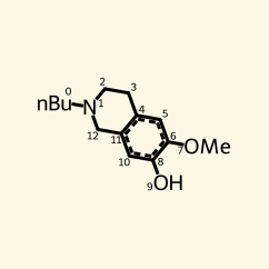 CCCCN1CCc2cc(OC)c(O)cc2C1